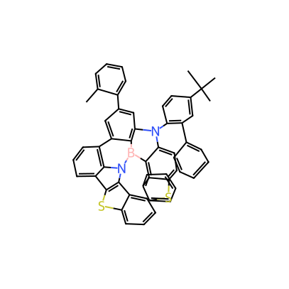 Cc1ccccc1-c1cc2c3c(c1)N(c1ccc(C(C)(C)C)cc1-c1ccccc1)c1ccc4sc5ccccc5c4c1B3n1c3c-2cccc3c2sc3ccccc3c21